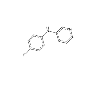 Fc1ccc(Nc2cc[c]nc2)cc1